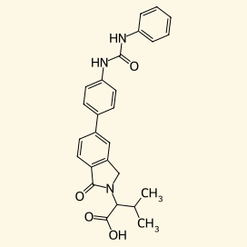 CC(C)C(C(=O)O)N1Cc2cc(-c3ccc(NC(=O)Nc4ccccc4)cc3)ccc2C1=O